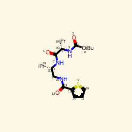 CC(C)COC(=O)N[C@H](C(=O)N[C@H](CNC(=O)c1cccs1)C(C)C)C(C)C